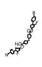 N#Cc1ccc(-c2ccc(OC(=O)c3ccc(Cc4ccc(C(O)Oc5ccc(-c6ccc(C#N)cc6)c(F)c5)cc4)cc3)cc2F)cc1